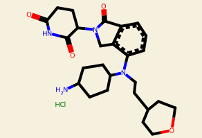 Cl.NC1CCC(N(CCC2CCOCC2)c2cccc3c2CN(C2CCC(=O)NC2=O)C3=O)CC1